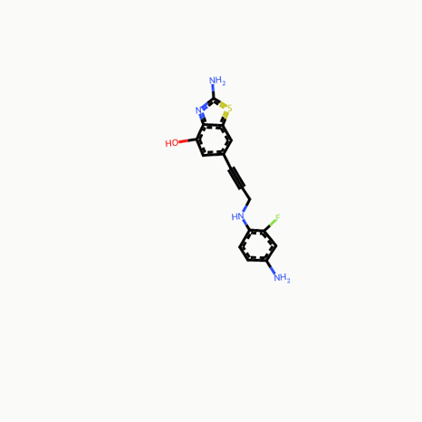 Nc1ccc(NCC#Cc2cc(O)c3nc(N)sc3c2)c(F)c1